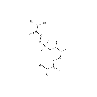 CCCCC(CC)C(=O)OOC(C)C(C)CC(C)(C)OOC(=O)C(CC)CCCC